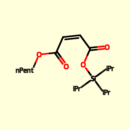 CCCCCOC(=O)/C=C\C(=O)O[Si](C(C)C)(C(C)C)C(C)C